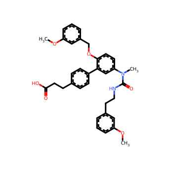 COc1cccc(CCNC(=O)N(C)c2ccc(OCc3cccc(OC)c3)c(-c3ccc(CCC(=O)O)cc3)c2)c1